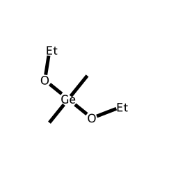 CC[O][Ge]([CH3])([CH3])[O]CC